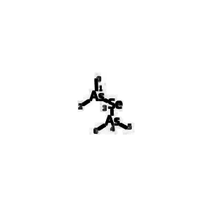 C[As](C)[Se][As](C)C